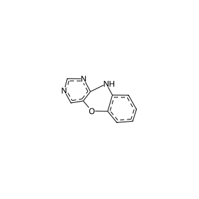 c1ccc2c(c1)Nc1ncncc1O2